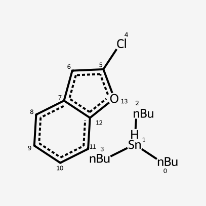 CCC[CH2][SnH]([CH2]CCC)[CH2]CCC.Clc1cc2ccccc2o1